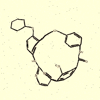 O=C1Nc2ccc(cc2)OCc2cc(ccc2OC2CCCCC2)Nc2nccc(n2)-c2ccc1cc2[N+](=O)[O-]